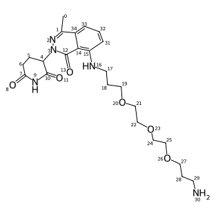 Cc1nn(C2CCC(=O)NC2=O)c(=O)c2c(NCCCOCCOCCOCCCN)cccc12